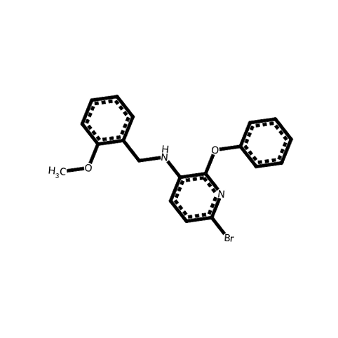 COc1ccccc1CNc1ccc(Br)nc1Oc1ccccc1